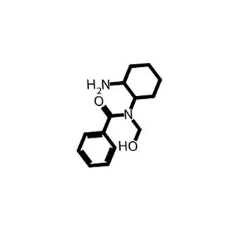 NC1CCCCC1N(CO)C(=O)c1ccccc1